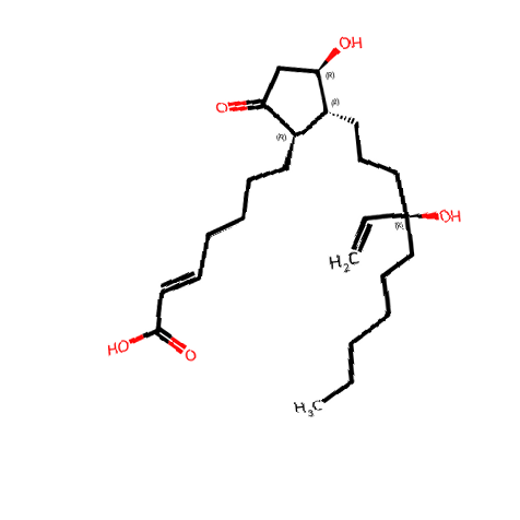 C=C[C@@](O)(CCCCCC)CCC[C@H]1[C@H](O)CC(=O)[C@@H]1CCCCC=CC(=O)O